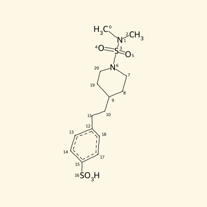 CN(C)S(=O)(=O)N1CCC(CCc2ccc(S(=O)(=O)O)cc2)CC1